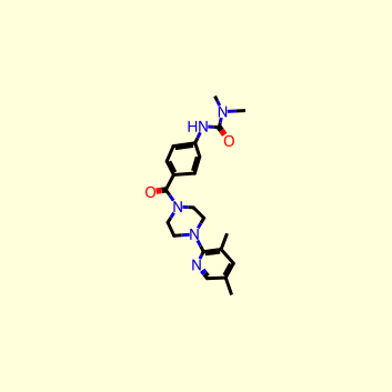 Cc1cnc(N2CCN(C(=O)c3ccc(NC(=O)N(C)C)cc3)CC2)c(C)c1